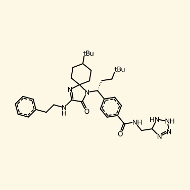 CC(C)(C)CC[C@H](c1ccc(C(=O)NCC2N=NNN2)cc1)N1C(=O)C(NCCc2ccccc2)=NC12CCC(C(C)(C)C)CC2